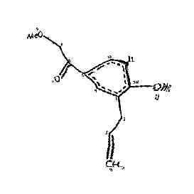 C=CCc1cc(C(=O)COC)ccc1OC